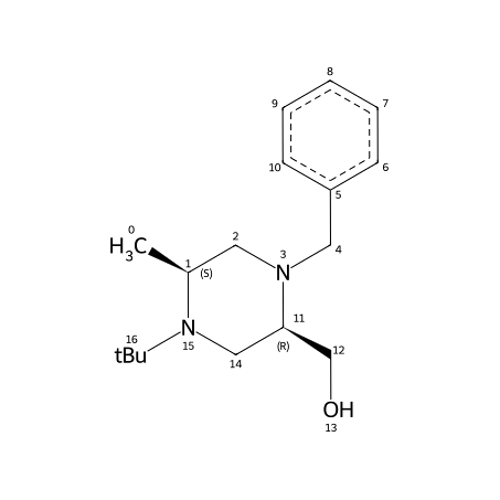 C[C@H]1CN(Cc2ccccc2)[C@@H](CO)CN1C(C)(C)C